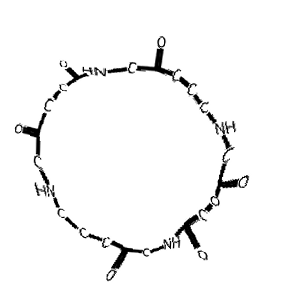 O=C1CCC(=O)NCC(=O)CCCNCC(=O)OCC(=O)NCC(=O)CCCNC1